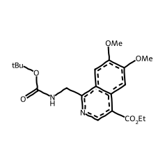 CCOC(=O)c1cnc(CNC(=O)OC(C)(C)C)c2cc(OC)c(OC)cc12